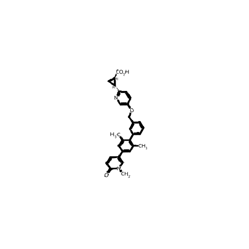 Cc1cc(-c2ccc(=O)n(C)c2)cc(C)c1-c1cccc(COc2ccc([C@@H]3C[C@H]3C(=O)O)nc2)c1